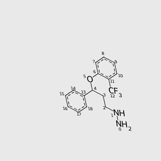 NNCCC(Oc1ccccc1C(F)(F)F)c1ccccc1